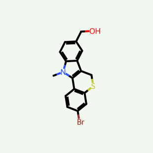 Cn1c2c(c3cc(CO)ccc31)CSc1cc(Br)ccc1-2